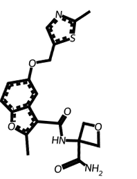 Cc1ncc(COc2ccc3oc(C)c(C(=O)NC4(C(N)=O)COC4)c3c2)s1